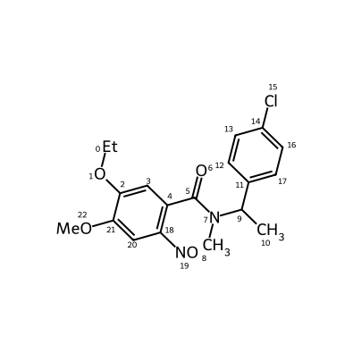 CCOc1cc(C(=O)N(C)C(C)c2ccc(Cl)cc2)c(N=O)cc1OC